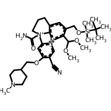 COC(OC)c1nc2c(cc1CO[Si](C)(C)C(C)(C)C)CCC[N+]2(C(N)=O)c1cc(OCC2CCN(C)CC2)c(C#N)cn1